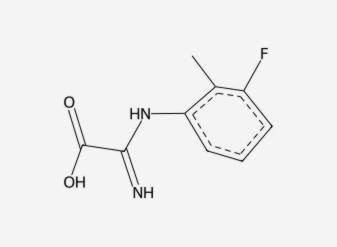 Cc1c(F)cccc1NC(=N)C(=O)O